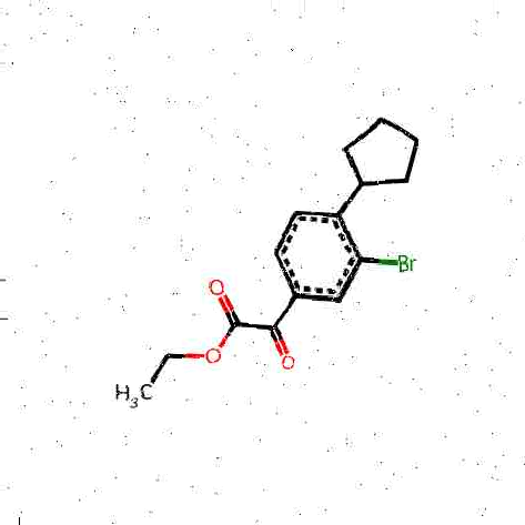 CCOC(=O)C(=O)c1ccc(C2CCCC2)c(Br)c1